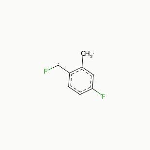 [CH2]c1cc(F)ccc1[CH]F